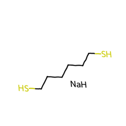 SCCCCCCS.[NaH]